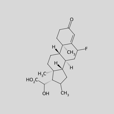 CC1C[C@H]2[C@@H]3CC(F)C4=CC(=O)CC[C@]4(C)[C@H]3CC[C@]2(C)[C@H]1C(O)C(=O)O